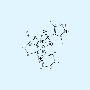 Cc1n[nH]c(C)c1S(=O)(=O)N1C[C@H]2CC[C@@H](C1)[C@@H]2Oc1cnccn1